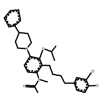 CC(=O)N(C)c1ccc(N2CCC(c3ccccc3)CC2)c(OC(C)C)c1CCCCc1ccc(Cl)c(Cl)c1